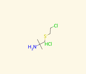 CC(C)(N)CSCCCl.Cl